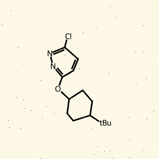 CC(C)(C)C1CCC(Oc2ccc(Cl)nn2)CC1